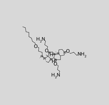 CCCCCCCCOCCC[C@@H](C)[C@H]1CC[C@H]2C3[C@H](OCCCN)CC4C[C@H](OCCCN)CC[C@]4(C)[C@H]3C[C@H](OCCCN)C12C